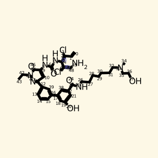 C=C/C(Cl)=C(NC(=O)Nc1cc(-c2cccc(-c3cc(O)cc(C(=O)NCCCCCCCN(C)CCO)c3)c2)nn(CC)c1=O)\C(Cl)=C/N